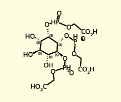 O=C(O)CO[PH](=O)O[C@@H]1[C@@H](O[PH](=O)OCC(=O)O)[C@H](O)[C@@H](O)[C@H](O)[C@@H]1O[PH](=O)OCC(=O)O